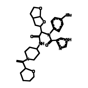 C=C(C1CCCCO1)N1CCC(NC(=O)C(C2CC3CCOC3O2)N(C(=O)c2c[nH]cn2)c2ccc(C(C)(C)C)cc2)CC1